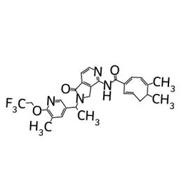 C/C1=C/C=C(C(=O)Nc2nccc3c2CN(C(C)c2cnc(OCC(F)(F)F)c(C)c2)C3=O)\C=C\CC1C